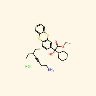 CCC(C#CCCN)CC.CCOC(=O)C(O)(c1ccc2c(c1)Sc1ccccc1S2)C1CCCCC1.Cl